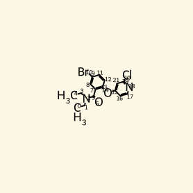 CCN(CC)C(=O)c1cc(Br)ccc1Oc1ccnc(Cl)c1